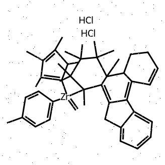 Cl.Cl.[CH2]=[Zr]([C]1=C(C)C(C)=C(C)C1C)([c]1ccc(C)cc1)[C]1(C)C2=C3Cc4ccccc4C3=C3C=CCCC3C2(C)C(C)(C)C(C)(C)C1(C)C